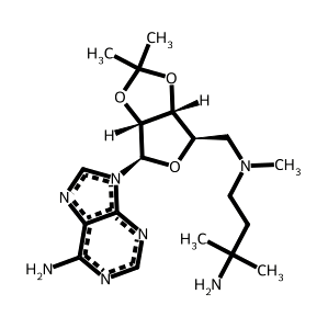 CN(CCC(C)(C)N)C[C@H]1O[C@@H](n2cnc3c(N)ncnc32)[C@@H]2OC(C)(C)O[C@@H]21